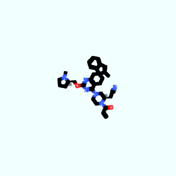 C=CC(=O)N1CCN(c2nc(OC[C@@H]3CCCN3C)nc3c2CCC2(C3)C(C)=Cc3ccccc32)C[C@@H]1CC#N